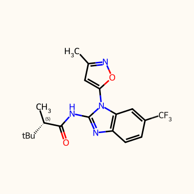 Cc1cc(-n2c(NC(=O)[C@@H](C)C(C)(C)C)nc3ccc(C(F)(F)F)cc32)on1